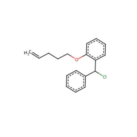 C=CCCCOc1ccccc1C(Cl)c1ccccc1